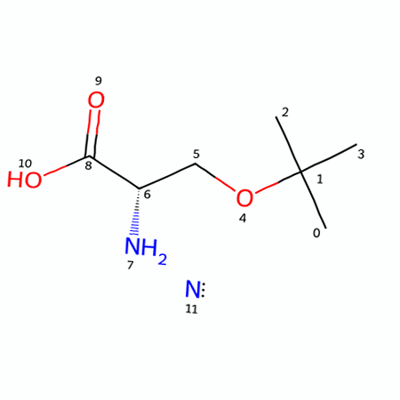 CC(C)(C)OC[C@H](N)C(=O)O.[N]